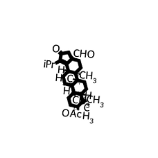 CC(=O)O[C@H]1CC[C@@]2(C)[C@H](CC[C@]3(C)[C@@H]2CC[C@@H]2C4=C(C(C)C)C(=O)CC4(C=O)CC[C@]23C)C1(C)C